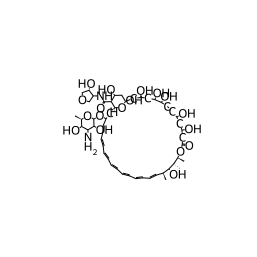 C[C@@H]1OC(=O)CC(O)CC(O)CCC(O)C(O)CC(O)CC2(O)C[C@H](O)C(C(=O)N[C@H]3COC[C@@H]3O)[C@H](CC(O[C@@H]3O[C@H](C)C(O)[C@H](N)C3O)/C=C/C=C/C=C/C=C/C=C/C=C/C=C/[C@H](C)C(O)[C@H]1C)O2